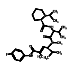 C/C(=C\[C@H](C(C)C)N(C)C(=O)[C@@H](NC(=O)[C@H]1CCCCN1C(C)C)C(C)C)C(=O)Nc1ccc(F)cc1